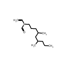 C=CN(C=O)CCCC(C)CC(C)CCC